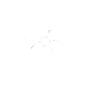 COCC(=O)c1cc(Cl)c(N)c(OC)c1